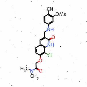 COc1cc(NCc2cc3ccc(OCC(=O)N(C)C)c(Cl)c3[nH]c2=O)ccc1C#N